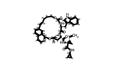 C=C[C@@H]1C[C@]1(NC(=O)[C@@H]1C[C@@H]2CN1C(=O)[C@H](Cc1c[nH]c3ccccc13)NC(=O)OCCC/C=C/c1ccc3ccnc(c3c1)O2)C(=O)NC1CC1